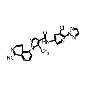 N#Cc1nccc2c(-n3ncc(C(=O)Nc4cnc(-n5nccn5)c(Cl)c4)c3C(F)(F)F)cccc12